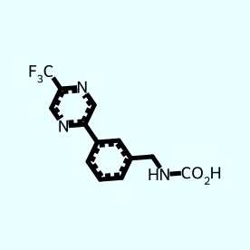 O=C(O)NCc1cccc(-c2cnc(C(F)(F)F)cn2)c1